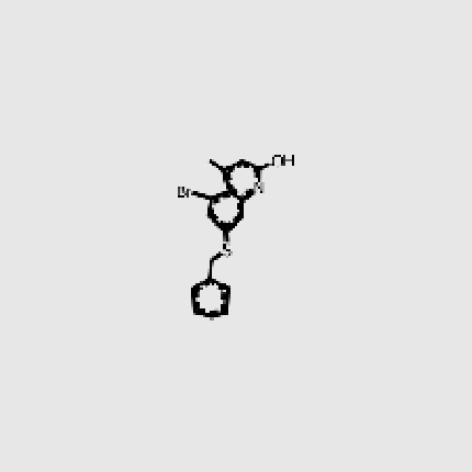 Cc1cc(O)nc2cc(SCc3ccccc3)cc(Br)c12